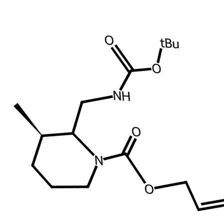 C=CCOC(=O)N1CCC[C@@H](C)C1CNC(=O)OC(C)(C)C